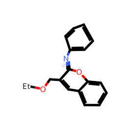 CCOCc1cc2ccccc2o/c1=N\c1ccccc1